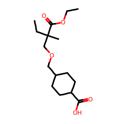 CCOC(=O)C(C)(CC)COCC1CCC(C(=O)O)CC1